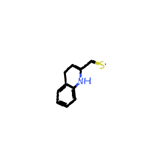 [S]CC1CCc2ccccc2N1